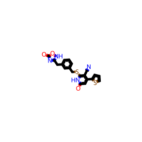 N#Cc1c(-c2cccs2)cc(=O)[nH]c1SCc1cccc(Cc2nc(=O)o[nH]2)c1